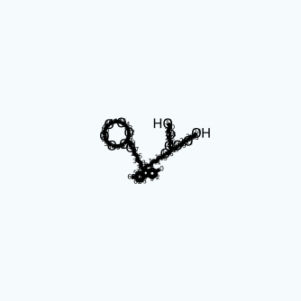 Cc1ccc2c(c1)C(CCCCCCOCC(COCCOCCO)OCCOCCO)(CCCCCCOCC1COCCOCCOCCOCCOCCO1)c1cc(C)ccc1-2